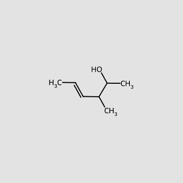 CC=CC(C)C(C)O